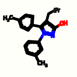 Cc1ccc(-c2c(CC(C)C)c(O)nn2-c2cccc(C)c2)cc1